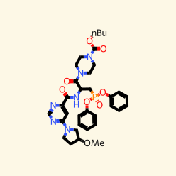 CCCCOC(=O)N1CCN(C(=O)C(CP(=O)(Oc2ccccc2)Oc2ccccc2)NC(=O)c2cc(N3CCC(OC)C3)ncn2)CC1